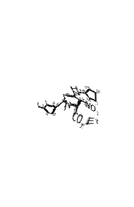 CCOC(=O)c1nc(-c2ccc(C)cc2)nc(NC2CCCC2)c1[N+](=O)[O-]